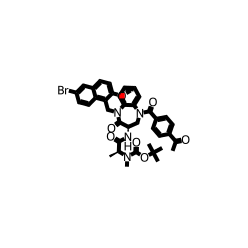 COc1ccc2cc(Br)ccc2c1CN1C(=O)[C@@H](NC(=O)[C@H](C)N(C)C(=O)OC(C)(C)C)CN(C(=O)c2ccc(C(C)=O)cc2)c2ccccc21